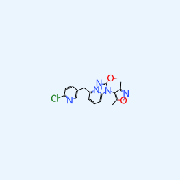 COc1n[n+]2c(Cc3ccc(Cl)nc3)cccc2n1-c1c(C)noc1C